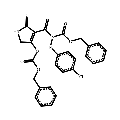 C=C(C1=C(OC(=O)OCc2ccccc2)CNC1=O)N(Nc1ccc(Cl)cc1)C(=O)OCc1ccccc1